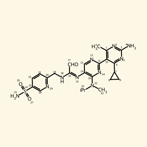 Cc1nc(N)nc(C2CC2)c1-c1ncc(/N=C(\C=O)NCc2ccc(S(N)(=O)=O)cn2)c(N(C)C(C)C)n1